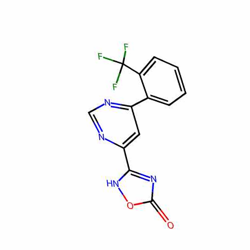 O=c1nc(-c2cc(-c3ccccc3C(F)(F)F)ncn2)[nH]o1